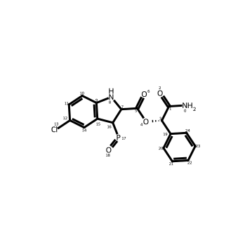 NC(=O)[C@@H](OC(=O)C1Nc2ccc(Cl)cc2C1P=O)c1ccccc1